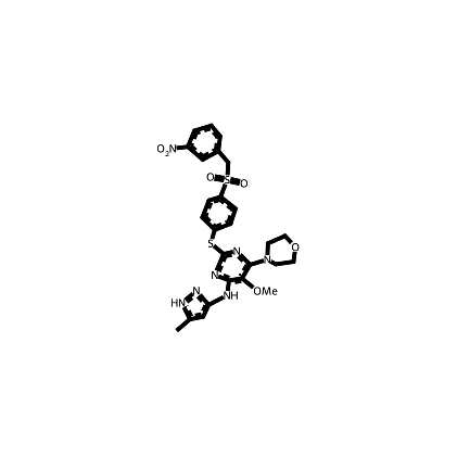 COc1c(Nc2cc(C)[nH]n2)nc(Sc2ccc(S(=O)(=O)Cc3cccc([N+](=O)[O-])c3)cc2)nc1N1CCOCC1